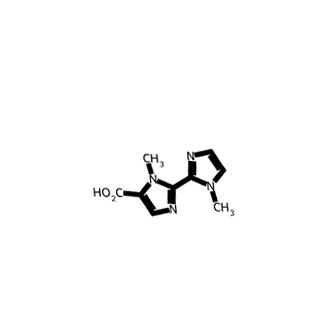 Cn1ccnc1-c1ncc(C(=O)O)n1C